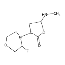 CNC1CN(N2CCOCC2F)C(=O)O1